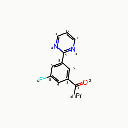 CCCC(=O)c1cc(F)cc(-c2ncccn2)c1